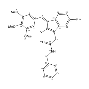 COc1cc(C=C2C(C)=C(CC(=O)NCc3ccccc3)c3cc(F)ccc32)cc(OC)c1OC